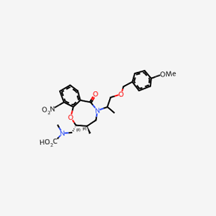 COc1ccc(COCC(C)N2C[C@@H](C)[C@H](CN(C)C(=O)O)Oc3c(cccc3[N+](=O)[O-])C2=O)cc1